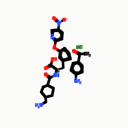 CC(=O)c1ccc(N)cc1.Cl.NCC1CCC(C(=O)N[C@@H](Cc2cccc(Oc3ccc([N+](=O)[O-])cn3)c2)C(=O)O)CC1